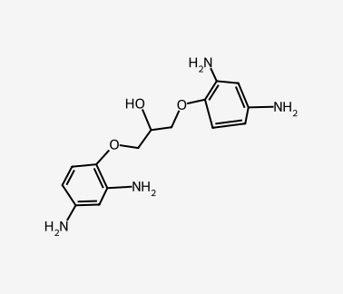 Nc1ccc(OCC(O)COc2ccc(N)cc2N)c(N)c1